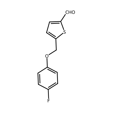 O=Cc1ccc(COc2ccc(F)cc2)s1